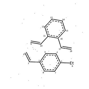 C=Cc1ccc(CC)cc1.C=Cc1ccccc1C=C